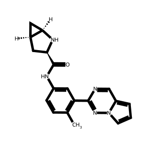 Cc1ccc(NC(=O)[C@H]2C[C@H]3C[C@H]3N2)cc1-c1ncc2cccn2n1